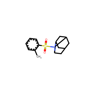 Cc1ccccc1S(=O)(=O)N1C2CC3CC(C2)CC1C3